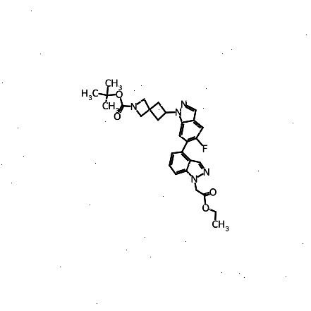 CCOC(=O)Cn1ncc2c(-c3cc4c(cnn4C4CC5(C4)CN(C(=O)OC(C)(C)C)C5)cc3F)cccc21